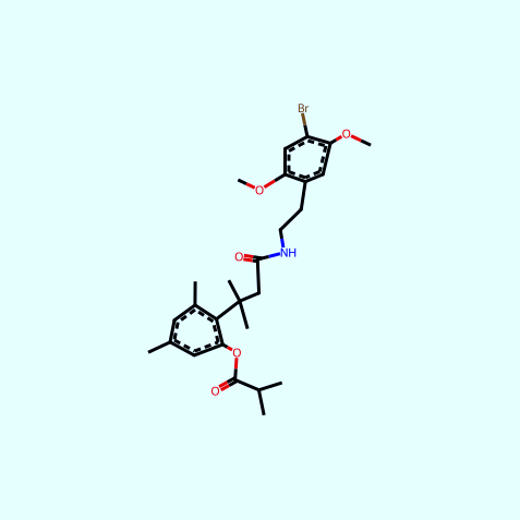 COc1cc(CCNC(=O)CC(C)(C)c2c(C)cc(C)cc2OC(=O)C(C)C)c(OC)cc1Br